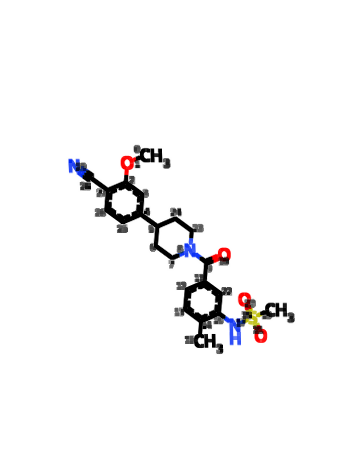 COc1cc(C2CCN(C(=O)c3ccc(C)c(NS(C)(=O)=O)c3)CC2)ccc1C#N